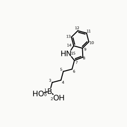 OB(O)CCCCc1cc2ccccc2[nH]1